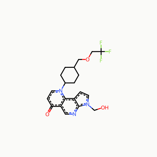 O=c1ccn(C2CCC(COCC(F)(F)F)CC2)c2c1cnc1c2ccn1CO